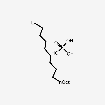 O=P(O)(O)O.[Li][CH2]CCCCCCCCCCCCCCC